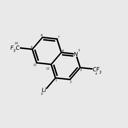 [Li][c]1cc(C(F)(F)F)nc2ccc(C(F)(F)F)cc12